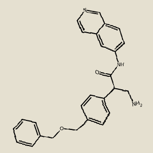 NCC(C(=O)Nc1ccc2cnccc2c1)c1ccc(COCc2ccccc2)cc1